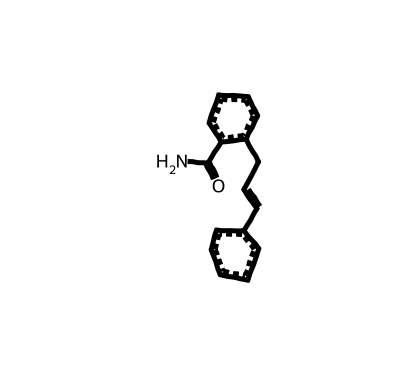 NC(=O)c1ccccc1CC=Cc1ccccc1